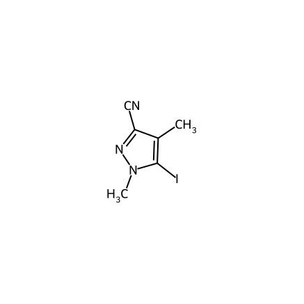 Cc1c(C#N)nn(C)c1I